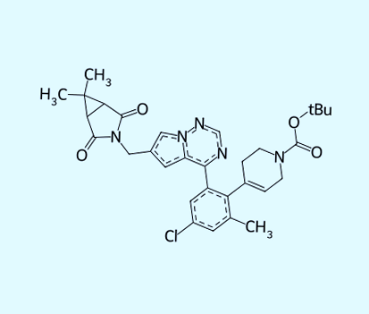 Cc1cc(Cl)cc(-c2ncnn3cc(CN4C(=O)C5C(C4=O)C5(C)C)cc23)c1C1=CCN(C(=O)OC(C)(C)C)CC1